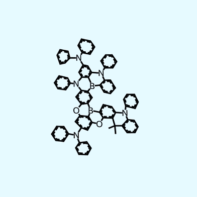 CC1(C)c2ccccc2N(c2ccccc2)c2ccc3c(c21)Oc1cc(N(c2ccccc2)c2ccccc2)cc2c1B3c1cc3c(cc1O2)N(c1ccccc1)c1cc(N(c2ccccc2)c2ccccc2)cc2c1B3c1ccccc1N2c1ccccc1